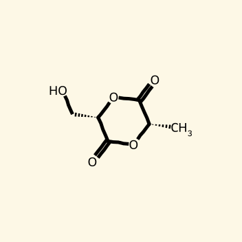 C[C@@H]1OC(=O)[C@H](CO)OC1=O